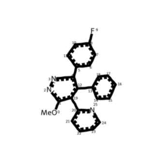 COc1nnc(-c2ccc(F)cc2)c(-c2ccccc2)c1-c1ccccn1